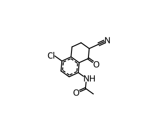 CC(=O)Nc1ccc(Cl)c2c1C(=O)C(C#N)CC2